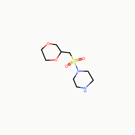 O=S(=O)(CC1COCCO1)N1CCNCC1